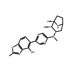 Cc1nc2c(O)c(-c3cnc(N(C)[C@@H]4CC5CC[C@H](N5)[C@@H]4F)cn3)ccc2o1